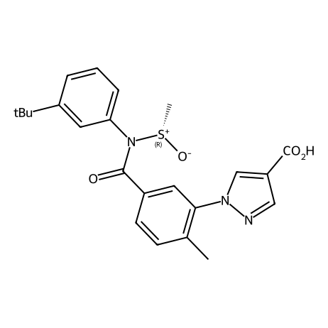 Cc1ccc(C(=O)N(c2cccc(C(C)(C)C)c2)[S@+](C)[O-])cc1-n1cc(C(=O)O)cn1